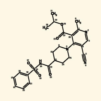 Cc1ncc(C#N)c(N2CCC(C(=O)NS(=O)(=O)c3ccccc3)CC2)c1C(=O)OC(C)C